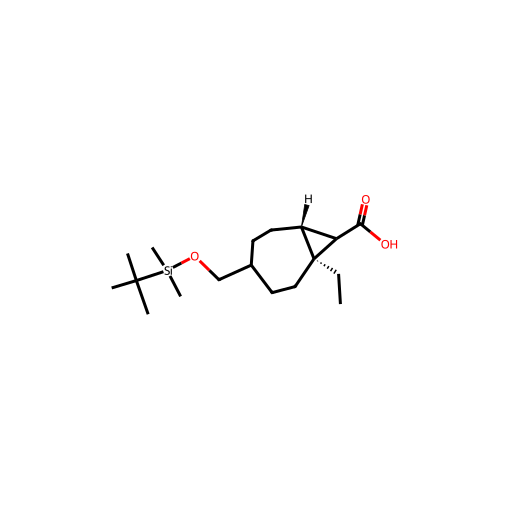 CC[C@]12CCC(CO[Si](C)(C)C(C)(C)C)CC[C@@H]1C2C(=O)O